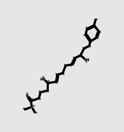 Cc1ccc(CCC(O)C=CCCC=CC(O)CCCC(=O)N(C)C)cc1